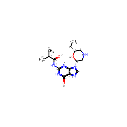 CC[C@@H]1CNC[C@H](n2cnc3c(=O)[nH]c(NC(=O)C(C)C)nc32)O1